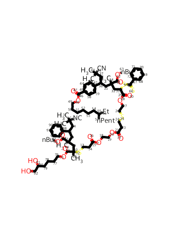 [C-]#[N+]C(C)(C)CC(CC(C)(CC(C)(SCCC(=O)OCCOC(=O)CCSCCOC(=O)C(CC(C)(CC(CC(C)(C)C#N)c1ccc(C(=O)OCCCCCCC(CC)CCCCC)cc1)C(=O)OCCCC)SC(=S)c1ccccc1)C(=O)OCCCCC(O)CO)C(=O)OCCCC)c1ccccc1